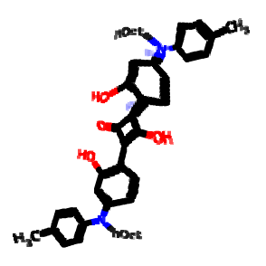 CCCCCCCCN(c1ccc(C)cc1)c1ccc(C2=C(O)/C(=C3C=C/C(=[N+](/CCCCCCCC)c4ccc(C)cc4)C=C\3O)C2=O)c(O)c1